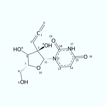 C=C=C[C@@]1(O)C(O)[C@@H](CO)O[C@H]1n1ccc(=O)[nH]c1=O